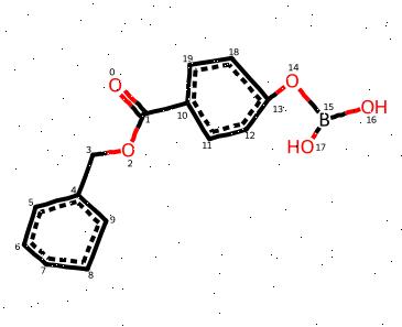 O=C(OCc1ccccc1)c1ccc(OB(O)O)cc1